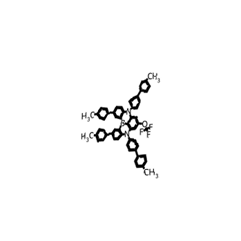 Cc1ccc(-c2ccc(N3c4ccc(-c5ccc(C)cc5)cc4B4c5cc(-c6ccc(C)cc6)ccc5N(c5ccc(-c6ccc(C)cc6)cc5)c5cc(OC(F)(F)F)cc3c54)cc2)cc1